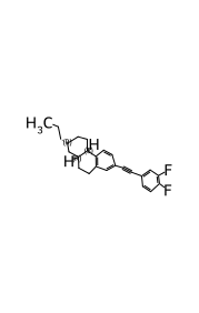 CCC[C@@H]1CC[C@@H]2c3ccc(C#Cc4ccc(F)c(F)c4)cc3CC[C@@H]2C1